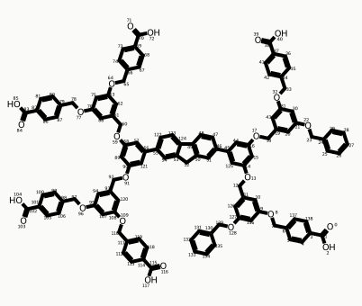 O=C(O)c1ccc(COc2cc(COc3cc(OCc4cc(OCc5ccccc5)cc(OCc5ccc(C(=O)O)cc5)c4)cc(-c4ccc5c(c4)Cc4cc(-c6cc(OCc7cc(OCc8ccc(C(=O)O)cc8)cc(OCc8ccc(C(=O)O)cc8)c7)cc(OCc7cc(OCc8ccc(C(=O)O)cc8)cc(OCc8ccc(C(=O)O)cc8)c7)c6)ccc4-5)c3)cc(OCc3ccccc3)c2)cc1